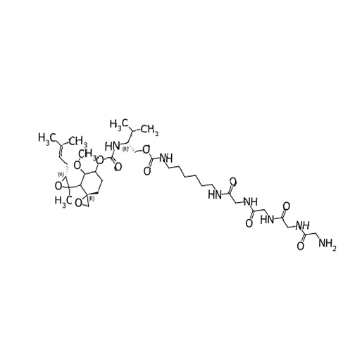 COC1C(OC(=O)N[C@@H](COC(=O)NCCCCCCNC(=O)CNC(=O)CNC(=O)CNC(=O)CN)C(C)C)CC[C@]2(CO2)C1C1(C)O[C@@H]1CC=C(C)C